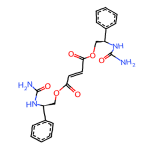 NC(=O)N[C@@H](COC(=O)/C=C/C(=O)OC[C@H](NC(N)=O)c1ccccc1)c1ccccc1